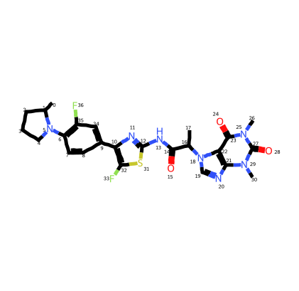 CC1CCCN1c1ccc(-c2nc(NC(=O)C(C)n3cnc4c3c(=O)n(C)c(=O)n4C)sc2F)cc1F